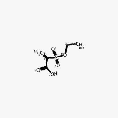 C=C(C(=O)O)S(=O)(=O)OCC